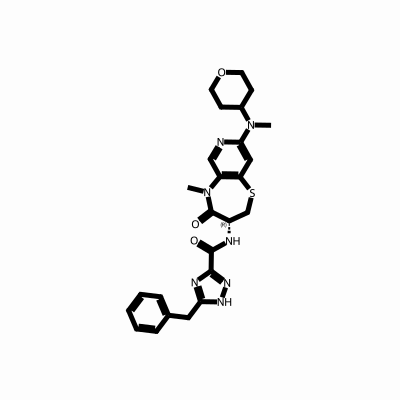 CN1C(=O)[C@@H](NC(=O)c2n[nH]c(Cc3ccccc3)n2)CSc2cc(N(C)C3CCOCC3)ncc21